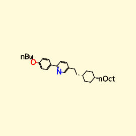 CCCCCCCC[C@H]1CC[C@H](CCc2ccc(-c3ccc(OCCCC)cc3)nc2)CC1